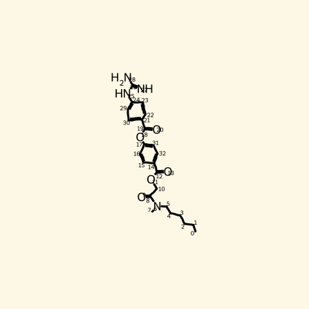 CCCCCCN(C)C(=O)COC(=O)c1ccc(OC(=O)c2ccc(NC(=N)N)cc2)cc1